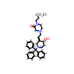 CCOC(=O)CCN1CCN(CC=C2CN(C(c3ccccc3)(c3ccccc3)c3ccccc3)CCC2O)CC1=O